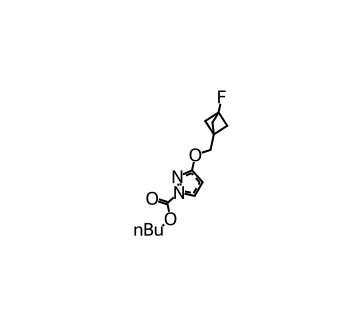 CCCCOC(=O)n1ccc(OCC23CC(F)(C2)C3)n1